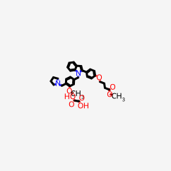 COC(=O)CCCOc1ccc(-c2cc3ccccc3n2Cc2ccc(CN3CCCC3)c(OC)c2)cc1.O=C(O)C(=O)O